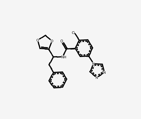 O=C(NC(Cc1ccccc1)C1=COCO1)c1cc(-n2cnnc2)ccc1Cl